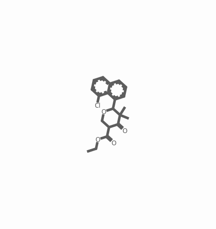 CCOC(=O)C1COC(c2cccc3cccc(Cl)c23)C(C)(C)C1=O